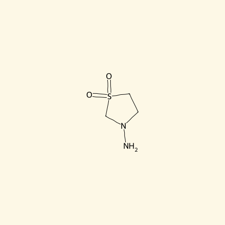 NN1CCS(=O)(=O)C1